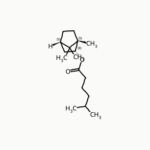 CC(C)CCCC(=O)O[C@@H]1C[C@@H]2CC[C@@]1(C)C2(C)C